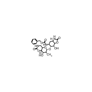 CC1[C@@H](O[C@@H]2C(NC(=O)OCc3ccccc3)C[C@H]3NC(=O)OC3[C@H]2O)OC2CNC(=O)O[C@H]2[C@@H]1O